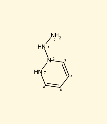 NNN1C=CC=CN1